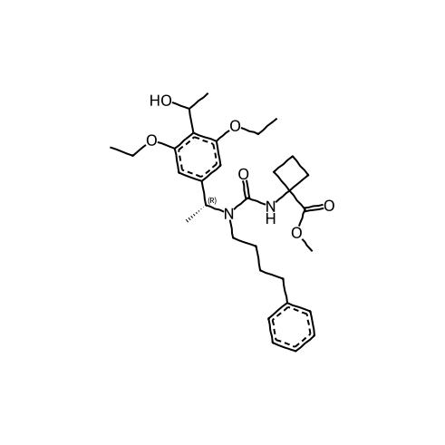 CCOc1cc([C@@H](C)N(CCCCc2ccccc2)C(=O)NC2(C(=O)OC)CCC2)cc(OCC)c1C(C)O